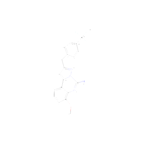 COc1cccc2c1nc(N)n1nc(Cc3ccc(C(F)(F)F)cc3)cc21